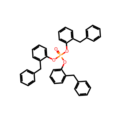 O=P(Oc1ccccc1Cc1ccccc1)(Oc1ccccc1Cc1ccccc1)Oc1ccccc1Cc1ccccc1